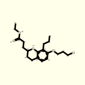 CCCc1c(OCCCCl)ccc2c1OC(CCC(=O)OCC)CC2